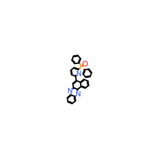 O=P(c1ccccc1)(c1ccccc1)c1cccc(-c2cc3nc4ccccc4nc3c3ccccc23)n1